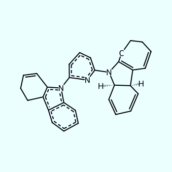 C1=C[C@@H]2C3=C(CCCC=C3)N(c3cccc(-n4c5c(c6ccccc64)CCC=C5)n3)[C@@H]2C=C1